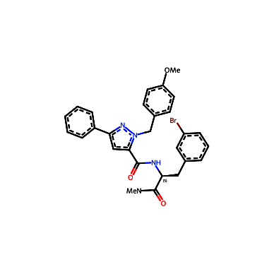 CNC(=O)[C@H](Cc1cccc(Br)c1)NC(=O)c1cc(-c2ccccc2)nn1Cc1ccc(OC)cc1